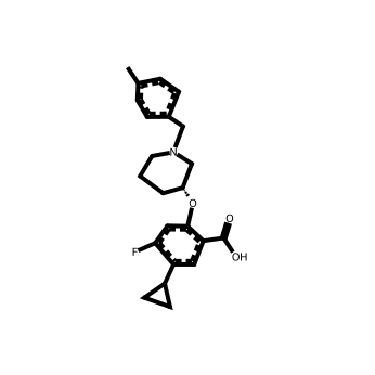 Cc1ccc(CN2CCC[C@@H](Oc3cc(F)c(C4CC4)cc3C(=O)O)C2)cc1